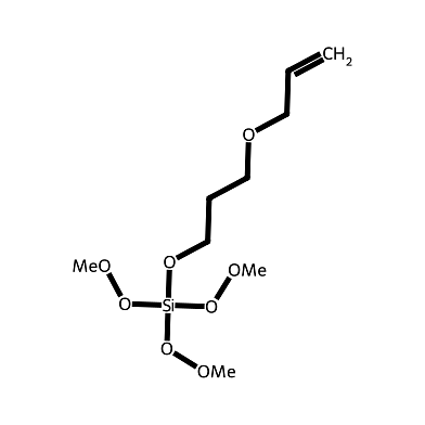 C=CCOCCCO[Si](OOC)(OOC)OOC